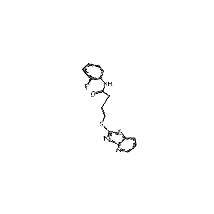 O=C(CCCSc1nc2ncccc2s1)Nc1ccccc1F